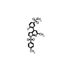 Cc1ccc(S(=O)(=O)n2ccc3c(-c4cc(S(C)(=O)=O)ccc4F)cc(C)nc32)cc1